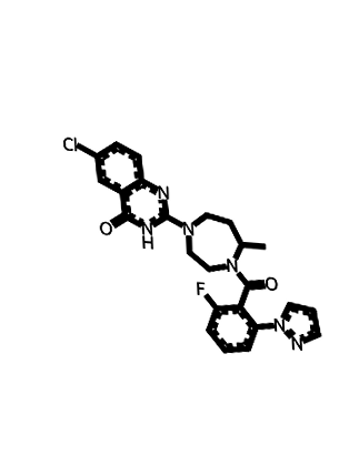 CC1CCN(c2nc3ccc(Cl)cc3c(=O)[nH]2)CCN1C(=O)c1c(F)cccc1-n1cccn1